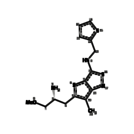 COC[C@H](N)Cc1sc2c(NCc3cccs3)snc2c1C